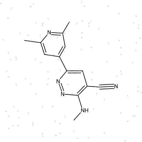 CNc1nnc(-c2cc(C)nc(C)c2)cc1C#N